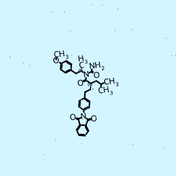 COc1ccc(C[C@H](C)N(C(N)=O)C(=O)[C@H]([CH]Cc2ccc(N3C(=O)c4ccccc4C3=O)cc2)CC(C)C)cc1